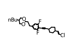 CCCCC1COC(CCc2cc(F)c(C#CC3CCC(/C=C/Cl)CC3)c(F)c2)OC1